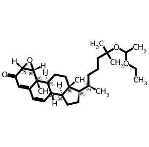 CCOC(C)OC(C)(C)CCC[C@@H](C)[C@H]1CC[C@H]2[C@@H]3C=CC4=CC(=O)[C@@H]5O[C@@H]5[C@]4(C)[C@H]3CC[C@]12C